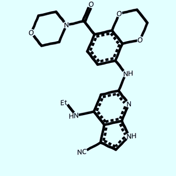 CCNc1cc(Nc2ccc(C(=O)N3CCOCC3)c3c2OCCO3)nc2[nH]cc(C#N)c12